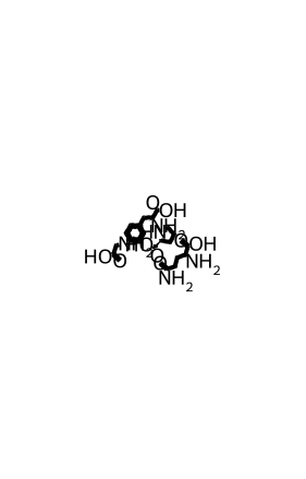 NC(=O)CC[C@H](N)C(=O)O.NCC(=O)O.N[C@@H](Cc1ccccc1)C(=O)O.O=C(O)[C@@H]1CCCN1